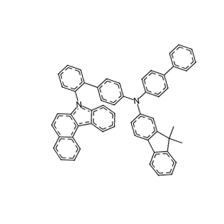 CC1(C)c2ccccc2-c2ccc(N(c3ccc(-c4ccccc4)cc3)c3ccc(-c4ccccc4-n4c5ccccc5c5c6ccccc6ccc54)cc3)cc21